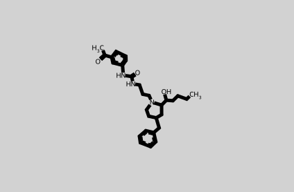 CCCCC(O)C1CC(Cc2ccccc2)CCN1CCCNC(=O)Nc1cccc(C(C)=O)c1